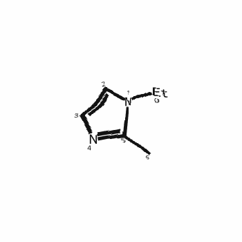 CCn1[c]cnc1C